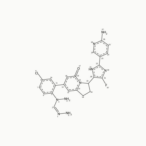 N/N=C\N(N)c1ccc(Cl)cc1-c1cc2n(c(=O)c1)C(c1[nH]c(-c3ccc(N)nc3)nc1F)CC2